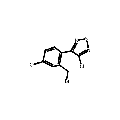 Clc1ccc(-c2nsnc2Cl)c(CBr)c1